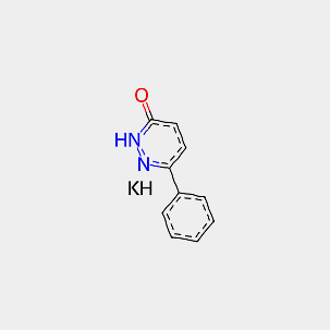 O=c1ccc(-c2ccccc2)n[nH]1.[KH]